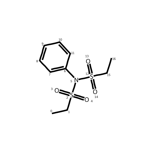 CCS(=O)(=O)N(c1cc[c]cc1)S(=O)(=O)CC